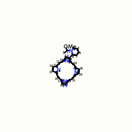 COC(C)[n+]1ccccc1-c1cc2cc3nc(cc4ccc(cc5nc(cc1[nH]2)C=C5)[nH]4)C=C3